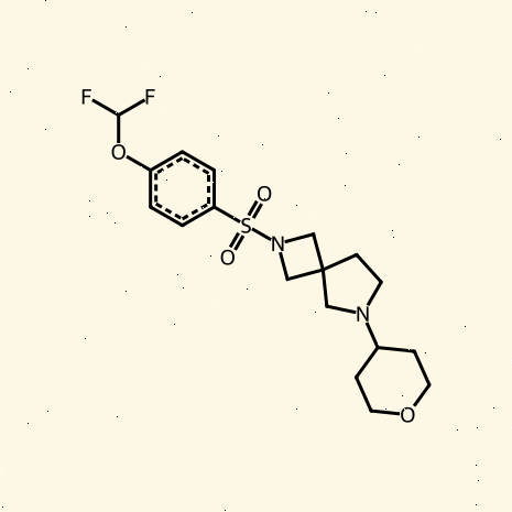 O=S(=O)(c1ccc(OC(F)F)cc1)N1CC2(CCN(C3CCOCC3)C2)C1